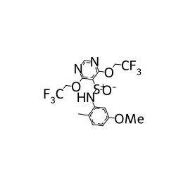 COc1ccc(C)c(N[S+]([O-])c2c(OCC(F)(F)F)ncnc2OCC(F)(F)F)c1